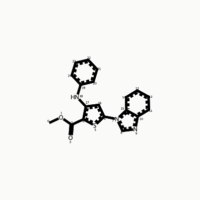 COC(=O)c1sc(-n2cnc3ccccc32)cc1Nc1ccccc1